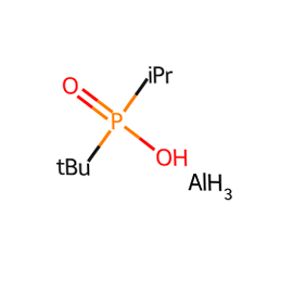 CC(C)P(=O)(O)C(C)(C)C.[AlH3]